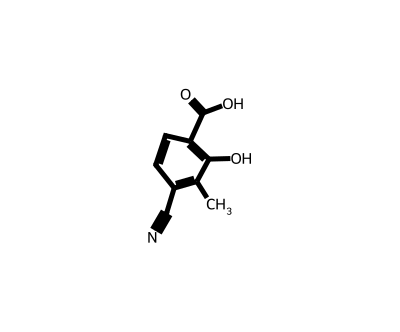 Cc1c(C#N)ccc(C(=O)O)c1O